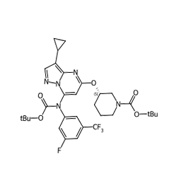 CC(C)(C)OC(=O)N1CCC[C@H](Oc2cc(N(C(=O)OC(C)(C)C)c3cc(F)cc(C(F)(F)F)c3)n3ncc(C4CC4)c3n2)C1